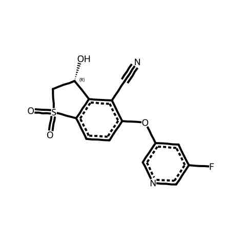 N#Cc1c(Oc2cncc(F)c2)ccc2c1[C@@H](O)CS2(=O)=O